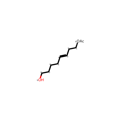 CC(=O)OCC/C=C/CCCCO